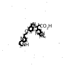 Cn1cc2ncc(C(CC(=O)O)n3ncc4cc(OCCc5ccc6c(n5)CCCN6)ccc43)cc2n1